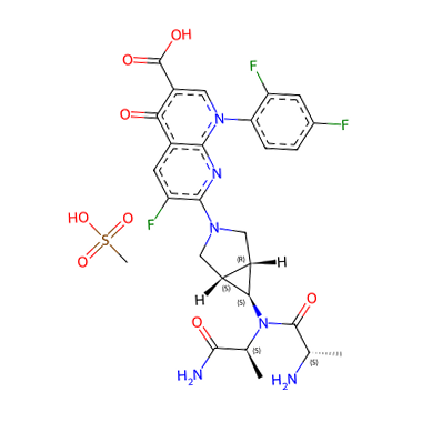 CS(=O)(=O)O.C[C@H](N)C(=O)N([C@H]1[C@@H]2CN(c3nc4c(cc3F)c(=O)c(C(=O)O)cn4-c3ccc(F)cc3F)C[C@@H]21)[C@@H](C)C(N)=O